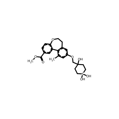 COC(=O)c1ccc2c(c1)-c1c(C)cc(OCC3(O)CCS(O)(O)CC3)cc1CCO2